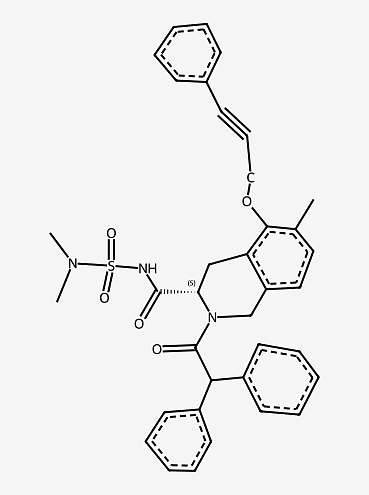 Cc1ccc2c(c1OCC#Cc1ccccc1)C[C@@H](C(=O)NS(=O)(=O)N(C)C)N(C(=O)C(c1ccccc1)c1ccccc1)C2